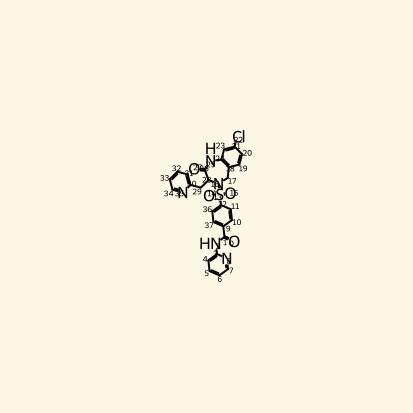 O=C(Nc1ccccn1)c1ccc(S(=O)(=O)N2Cc3ccc(Cl)cc3NC(=O)C2Cc2ccccn2)cc1